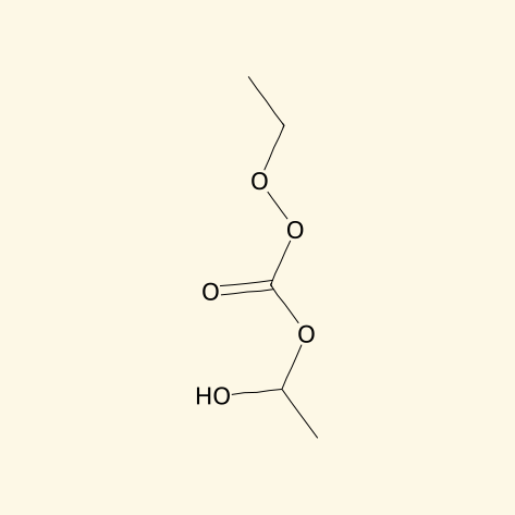 CCOOC(=O)OC(C)O